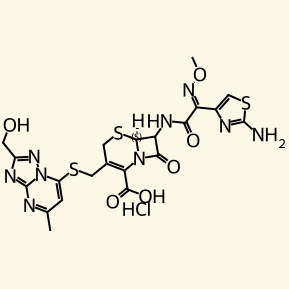 CON=C(C(=O)NC1C(=O)N2C(C(=O)O)=C(CSc3cc(C)nc4nc(CO)nn34)CS[C@@H]12)c1csc(N)n1.Cl